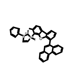 Cc1ccc2c(oc3c(-c4cc5ccccc5c5ccccc45)cccc32)c1[N+]1(I)C=CN(c2ccccc2)[C@H]1C